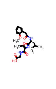 COc1ccccc1CC(=O)N[C@@H](CC(C)C)c1nc(C(=O)NCC(=O)O)c(C)o1